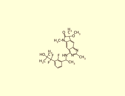 CO[C@]1(C)C(=O)N(C)c2cc3c(NC(C)c4cccc(C(F)(F)C(C)(C)O)c4F)nc(C)nc3cc21